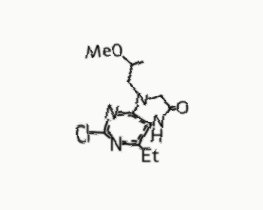 CCc1nc(Cl)nc2c1NC(=O)CN2CC(C)OC